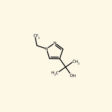 CC(C)(O)c1cnn(CC(F)(F)F)c1